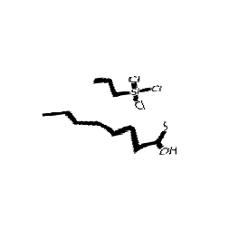 CCCCCCCC(O)=S.CCC[Si](Cl)(Cl)Cl